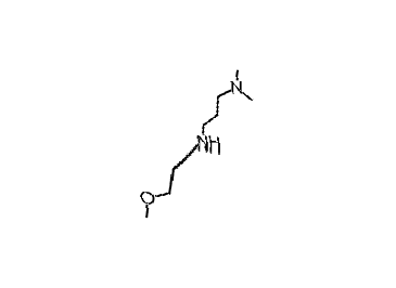 COCCNCCCN(C)C